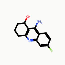 Nc1c2c(nc3cc(F)ccc13)CCCC2O